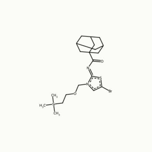 C[Si](C)(C)CCOCn1cc(Br)s/c1=N\C(=O)C12CC3CC(CC(C3)C1)C2